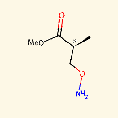 COC(=O)[C@@H](C)CON